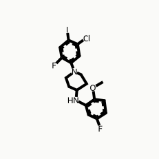 COc1ccc(F)cc1NC1CCN(c2cc(Cl)c(I)cc2F)CC1